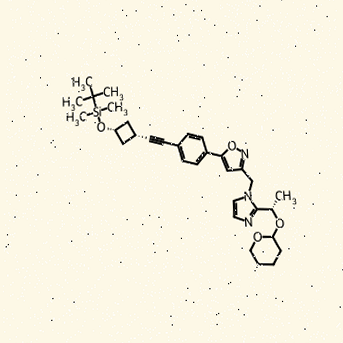 C[C@H](OC1CCCCO1)c1nccn1Cc1cc(-c2ccc(C#C[C@H]3C[C@@H](O[Si](C)(C)C(C)(C)C)C3)cc2)on1